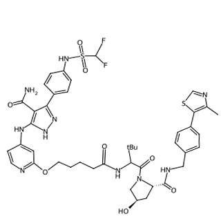 Cc1ncsc1-c1ccc(CNC(=O)[C@@H]2C[C@@H](O)CN2C(=O)C(NC(=O)CCCCOc2cc(Nc3[nH]nc(-c4ccc(NS(=O)(=O)C(F)F)cc4)c3C(N)=O)ccn2)C(C)(C)C)cc1